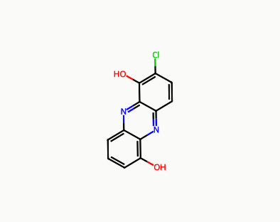 Oc1cccc2nc3c(O)c(Cl)ccc3nc12